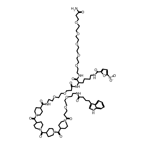 NC(=O)CCOCCOCCOCCOCCOCCNC(=O)C(CCCCNC(=O)c1ccc([N+](=O)[O-])o1)NC(=O)CCOCCOCCNC(=O)C1CCN(C(=O)C2CCN(C(=O)C3CCN(C(=O)C4CCN(C(=O)CCOCCOCCNC(=O)CCCc5c[nH]c6ccccc56)CC4)CC3)CC2)CC1